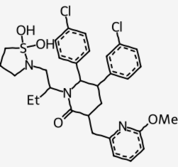 CCC(CN1CCCS1(O)O)N1C(=O)C(Cc2cccc(OC)n2)CC(c2cccc(Cl)c2)C1c1ccc(Cl)cc1